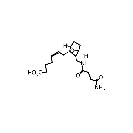 NC(=O)CCC(=O)NC[C@H]1[C@@H](C/C=C\CCCC(=O)O)[C@H]2CC[C@@H]1O2